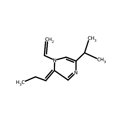 C=CN1C=C(C(C)C)N=C/C1=C/CC